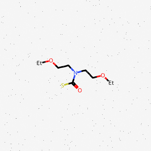 CCOCCN(CCOCC)C(=O)[S]